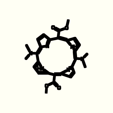 COC(=O)c1c2nc(c(N(C)C)c3ccc([nH]3)c(C(=O)OC)c3nc(c(N(C)C)c4ccc1[nH]4)C=C3)C=C2